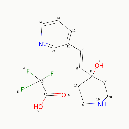 O=C(O)C(F)(F)F.OC1(C=Cc2cccnc2)CCNCC1